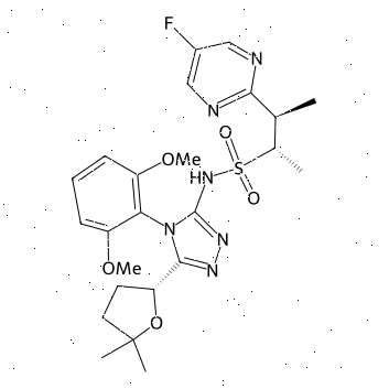 COc1cccc(OC)c1-n1c(NS(=O)(=O)[C@@H](C)[C@H](C)c2ncc(F)cn2)nnc1[C@H]1CCC(C)(C)O1